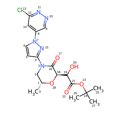 C[C@@H]1CN(c2ccn(-c3cnnc(Cl)c3)n2)C(=O)[C@@H](C(O)C(=O)OC(C)(C)C)O1